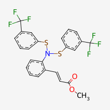 COC(=O)/C=C/c1ccccc1N(Sc1cccc(C(F)(F)F)c1)Sc1cccc(C(F)(F)F)c1